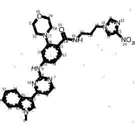 Cn1cc(-c2ccnc(Nc3ccc(C(=O)NCCCn4cnc([N+](=O)[O-])c4)c(N4CCOCC4)c3)n2)c2ccccc21